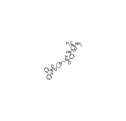 CN(CC(=O)Nc1cccc(C(=O)NCCN2CCC(OC(=O)Nc3ccccc3-c3ccccc3)CC2)c1)C(N)=O